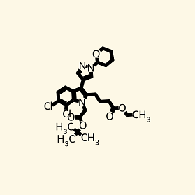 CCOC(=O)CCCc1c(-c2cnn(C3CCCCO3)c2)c2ccc(Cl)c(Cl)c2n1CC(=O)OC(C)(C)C